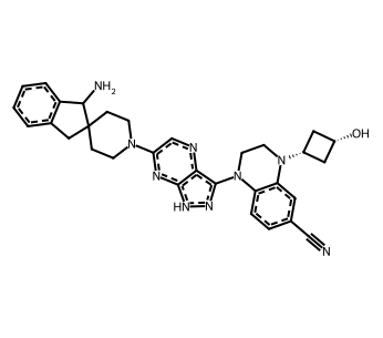 N#Cc1ccc2c(c1)N([C@H]1C[C@@H](O)C1)CCN2c1n[nH]c2nc(N3CCC4(CC3)Cc3ccccc3C4N)cnc12